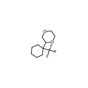 FC(F)(F)C1(C2COCCO2)CCCCC1